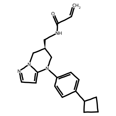 C=CC(=O)NC[C@H]1CN(c2ccc(C3CCC3)cc2)c2ccnn2C1